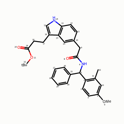 COc1ccc(C(NC(=O)Cc2ccc3[nH]cc(CCC(=O)OC(C)(C)C)c3c2)c2ccccc2)c(C)c1